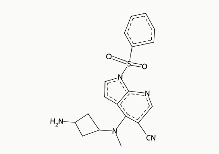 CN(c1c(C#N)cnc2c1ccn2S(=O)(=O)c1ccccc1)C1CC(N)C1